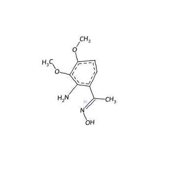 COc1ccc(/C(C)=N/O)c(N)c1OC